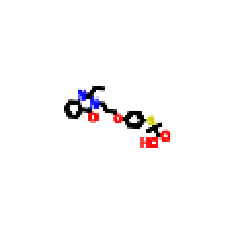 CCc1nc2ccccc2c(=O)n1CCCOc1ccc(SC(C)(C)C(=O)O)cc1